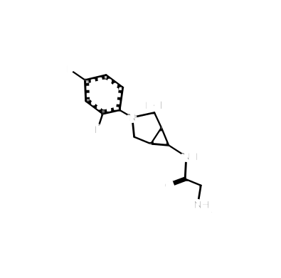 Cl.NCC(=O)NC1C2CN(c3ccc(F)cc3F)CC21